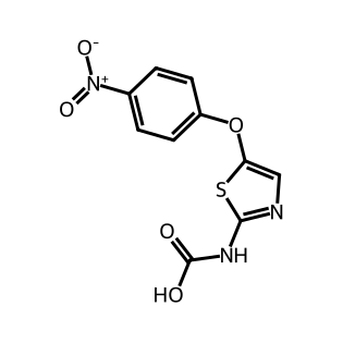 O=C(O)Nc1ncc(Oc2ccc([N+](=O)[O-])cc2)s1